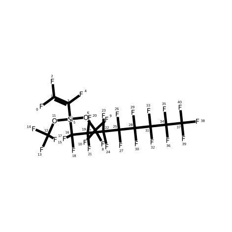 FC(F)=C(F)[Si](OC(F)(F)F)(OC(F)(F)F)C(F)(F)C(F)(F)C(F)(F)C(F)(F)C(F)(F)C(F)(F)C(F)(F)C(F)(F)F